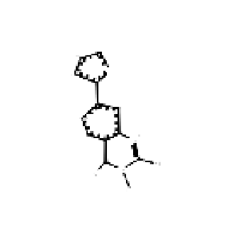 CN1C(N)=Nc2cc(-c3cccs3)ccc2C1N